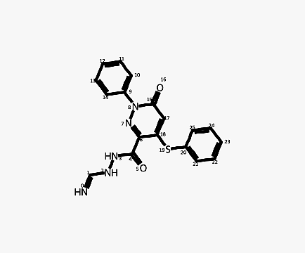 N=CNNC(=O)c1nn(-c2ccccc2)c(=O)cc1Sc1ccccc1